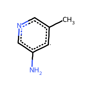 Cc1[c]c(N)cnc1